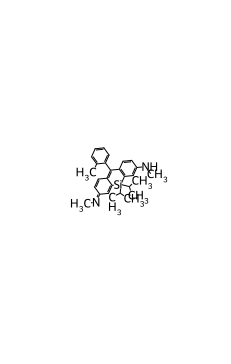 C/N=C1\C=CC2=C(c3ccccc3C)c3ccc(NC)cc3[Si](C(C)C)(C(C)C)C2=C1